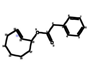 O=C(Cc1ccccc1)OC1/C=C/CCCCC1